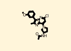 COc1cccc(-c2c(C)nc3c(N4CC[C@@H](NC(C)=O)C4)cc(Cl)nn23)c1